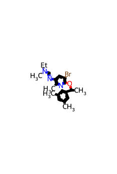 CCN(C)/C=N/c1cc(Br)c(OC(C)c2cc(C)cc(C)c2)nc1C